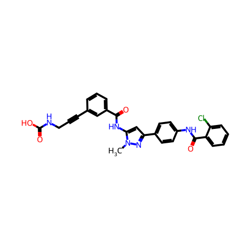 Cn1nc(-c2ccc(NC(=O)c3ccccc3Cl)cc2)cc1NC(=O)c1cccc(C#CCNC(=O)O)c1